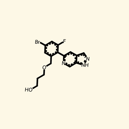 OCCCOCc1cc(Br)cc(F)c1-c1cc2cn[nH]c2cn1